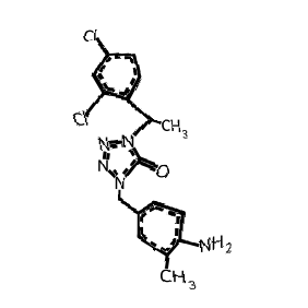 Cc1cc(Cn2nnn(C(C)c3ccc(Cl)cc3Cl)c2=O)ccc1N